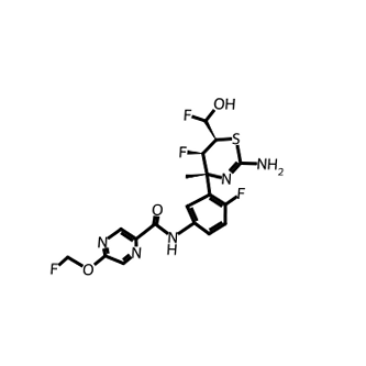 C[C@]1(c2cc(NC(=O)c3cnc(OCF)cn3)ccc2F)N=C(N)S[C@H](C(O)F)[C@@H]1F